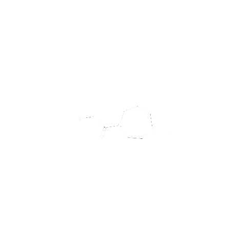 CC(C)(C)OC(=O)N1CC[C@@H](O)[C@@H](F)CC1